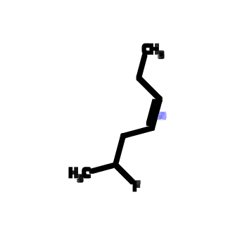 CC/C=C\CC(C)F